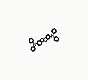 c1ccc(N(c2ccccc2)c2ccc3c(c2)CC2=C3Cc3cc(N(c4ccccc4)c4ccccc4)ccc32)cc1